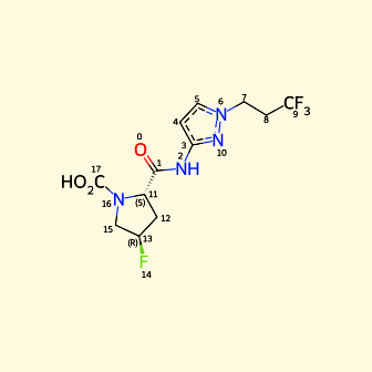 O=C(Nc1ccn(CCC(F)(F)F)n1)[C@@H]1C[C@@H](F)CN1C(=O)O